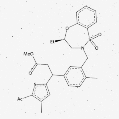 CC[C@@H]1CN(Cc2cc(C(CC(=O)OC)c3cc(C)c(C(C)=O)s3)ccc2C)S(=O)(=O)c2ccccc2O1